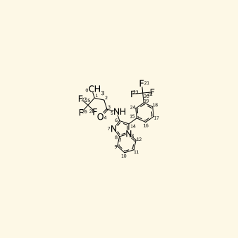 CC(CC(=O)Nc1nc2ccccn2c1-c1cccc(C(F)(F)F)c1)C(F)(F)F